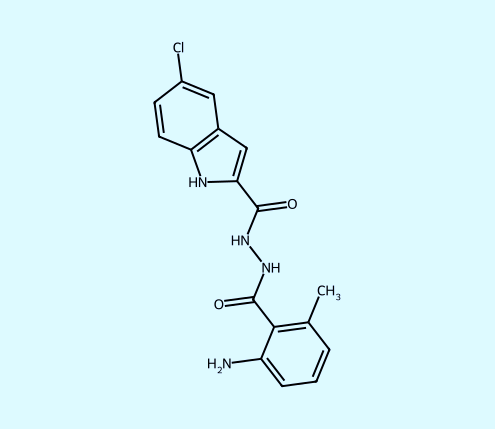 Cc1cccc(N)c1C(=O)NNC(=O)c1cc2cc(Cl)ccc2[nH]1